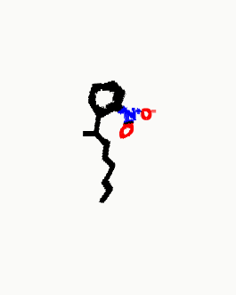 CCCCCCC(C)c1ccccc1[N+](=O)[O-]